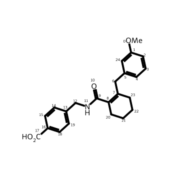 COc1cccc(CC2=C(C(=O)NCc3ccc(C(=O)O)cc3)CCCC2)c1